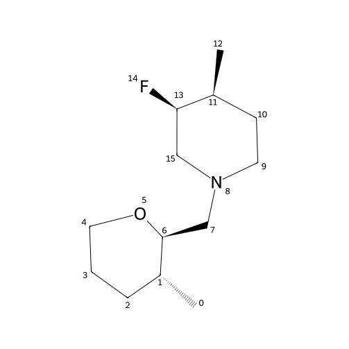 C[C@@H]1CCCO[C@H]1CN1CC[C@H](C)[C@H](F)C1